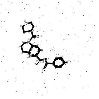 C[C@H](NC(=O)c1ccc(F)cc1)c1ccc2c(n1)CCCN2C(=O)C1CCOCC1